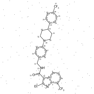 CCc1nc2c(C(F)(F)F)cccn2c1C(=O)NCc1ccc(N2CCC(c3ccc(C(F)(F)F)cc3)CC2)cc1